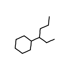 CCCC(CC)C1CCCCC1